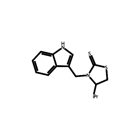 CC(C)C1CSC(=S)N1Cc1c[nH]c2ccccc12